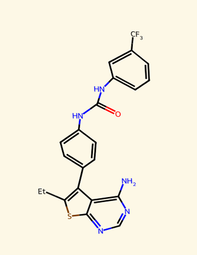 CCc1sc2ncnc(N)c2c1-c1ccc(NC(=O)Nc2cccc(C(F)(F)F)c2)cc1